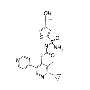 Cc1c(C2CC2)ncc(-c2ccncc2)c1CC(=O)N=S(N)(=O)c1cc(C(C)(C)O)cs1